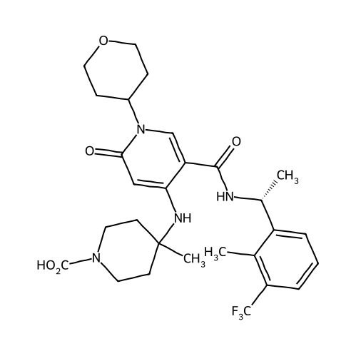 Cc1c([C@@H](C)NC(=O)c2cn(C3CCOCC3)c(=O)cc2NC2(C)CCN(C(=O)O)CC2)cccc1C(F)(F)F